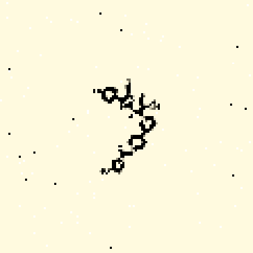 CC/C(NC)=C(/N1C=C(C2CCN(CC(=O)N3CC[C@H](O)C3)CC2)C=CC1)N(C)c1nc(-c2ccc(F)cc2)c(C#N)s1